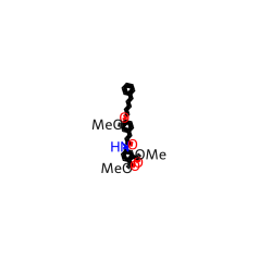 COC(=O)c1ccc(NC(=O)CCc2ccc(OCCCCCc3ccccc3)c(OC)c2)cc1C(=O)OC